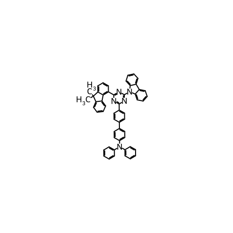 CC1(C)c2ccccc2-c2c(-c3nc(-c4ccc(-c5ccc(N(c6ccccc6)c6ccccc6)cc5)cc4)nc(-n4c5ccccc5c5ccccc54)n3)cccc21